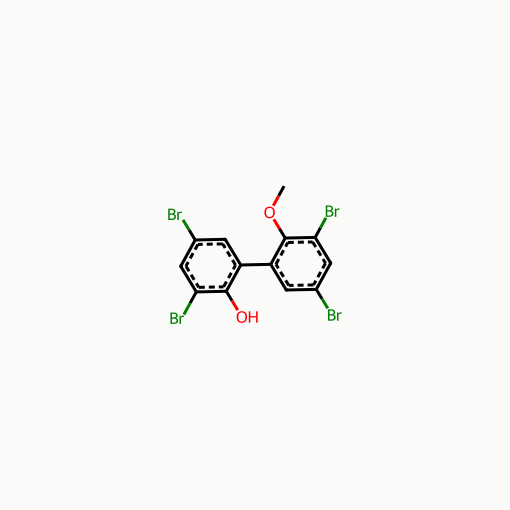 COc1c(Br)cc(Br)cc1-c1cc(Br)cc(Br)c1O